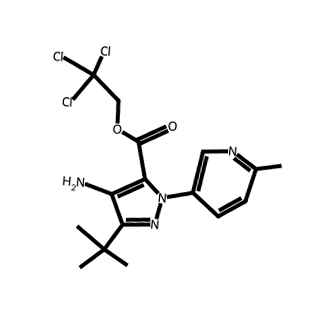 Cc1ccc(-n2nc(C(C)(C)C)c(N)c2C(=O)OCC(Cl)(Cl)Cl)cn1